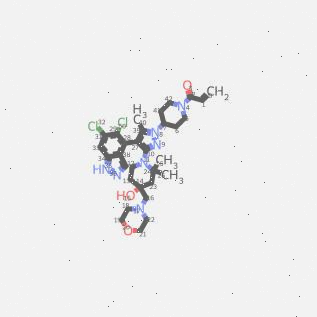 C=CC(=O)N1CCC(n2nc(N3CCC(O)(CN4CCOCC4)CC3(C)C)c(-c3c(Cl)c(Cl)cc4[nH]ncc34)c2C)CC1